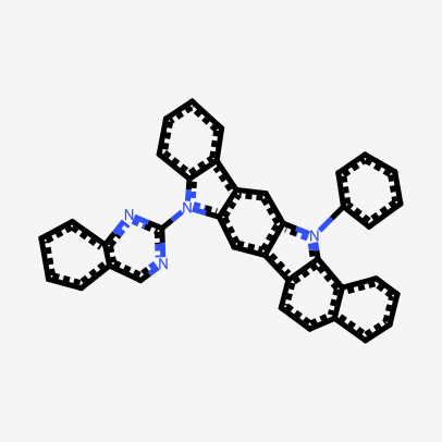 c1ccc(-n2c3cc4c5ccccc5n(-c5ncc6ccccc6n5)c4cc3c3ccc4ccccc4c32)cc1